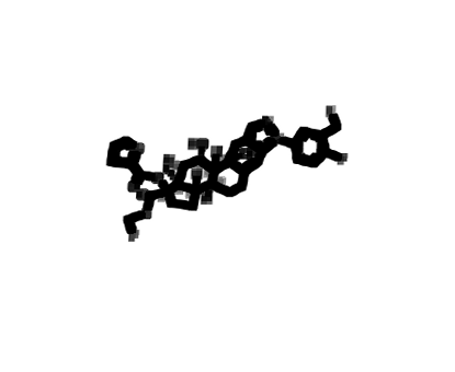 C[C@]12Cc3cnn(-c4ccc(F)c(CF)c4)c3C=C1CC[C@@H]1[C@@H]2[C@@H](O)C[C@@]2(C)[C@H]1CC[C@]2(OC(=O)c1ccco1)C(=O)SCF